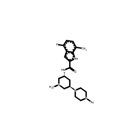 CC(=O)N1CCN([C@@H]2C[C@@H](NC(=O)c3cc4c(F)ccc(C)c4[nH]3)CN(C)C2)CC1